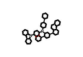 c1ccc(-c2ccc(N(c3ccc(-n4c5ccccc5c5ccccc54)cc3)c3cc(-c4cccc5c4ccc4ccccc45)ccc3-c3ccccc3)cc2)cc1